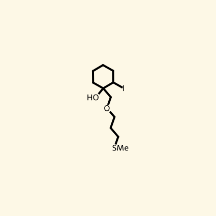 CSCCCOCC1(O)CCCCC1I